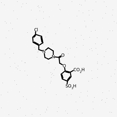 O=C(O)c1cc(S(=O)(=O)O)ccc1OCC(=O)N1CCN(Cc2ccc(Cl)cc2)CC1